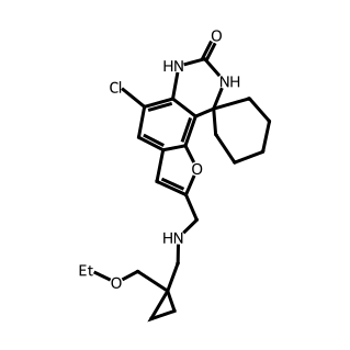 CCOCC1(CNCc2cc3cc(Cl)c4c(c3o2)C2(CCCCC2)NC(=O)N4)CC1